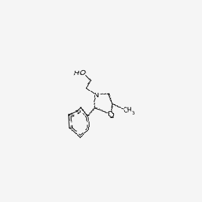 CC1CN(CCO)C(c2ccccc2)O1